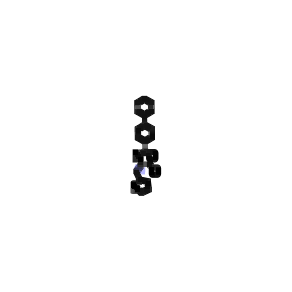 O=C1OC(c2ccc(-c3ccccc3)cc2)=N/C1=C/c1cccs1